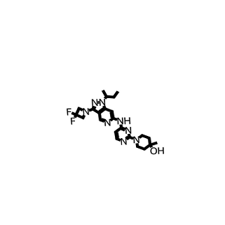 CCC(C)n1nc(N2CC(F)(F)C2)c2cnc(Nc3ccnc(N4CCC(C)(O)CC4)n3)cc21